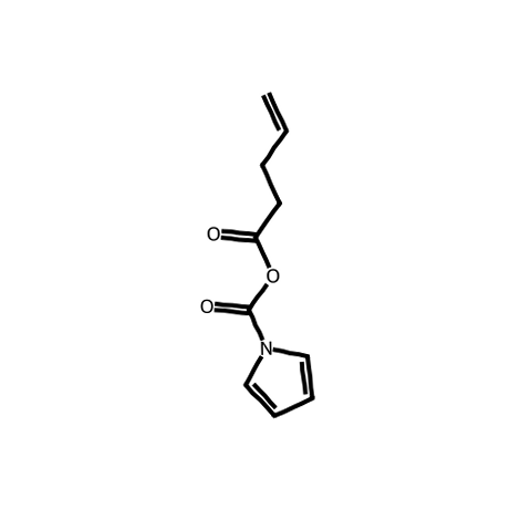 C=CCCC(=O)OC(=O)n1cccc1